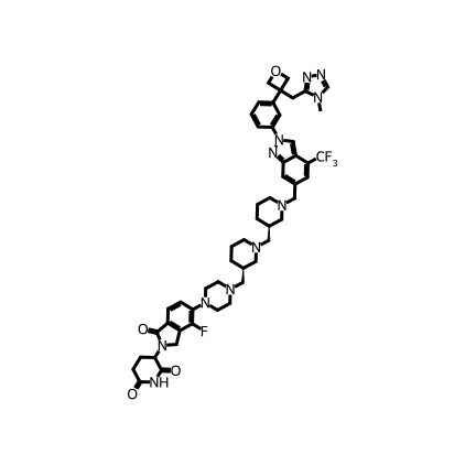 Cn1cnnc1CC1(c2cccc(-n3cc4c(C(F)(F)F)cc(CN5CCC[C@H](CN6CCC[C@H](CN7CCN(c8ccc9c(c8F)CN(C8CCC(=O)NC8=O)C9=O)CC7)C6)C5)cc4n3)c2)COC1